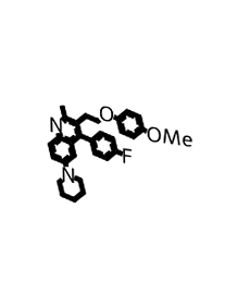 COc1ccc(OCCc2c(C)nc3ccc(N4CCCCC4)cc3c2-c2ccc(F)cc2)cc1